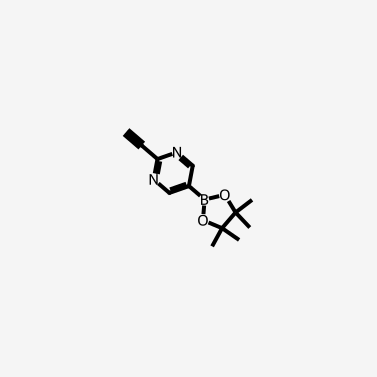 C#Cc1ncc(B2OC(C)(C)C(C)(C)O2)cn1